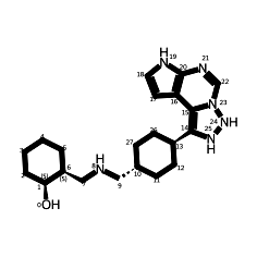 O[C@H]1CCCC[C@H]1CNC[C@H]1CC[C@H](C2=C3c4cc[nH]c4N=CN3NN2)CC1